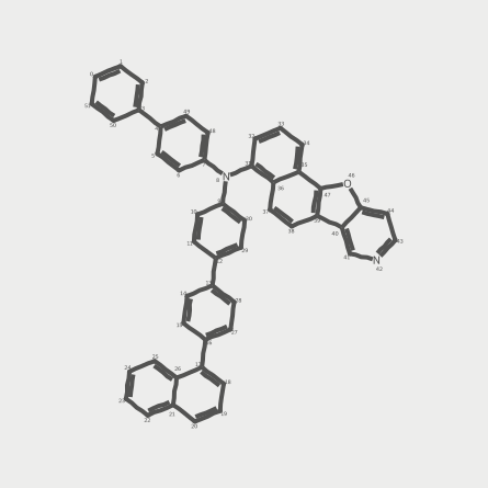 c1ccc(-c2ccc(N(c3ccc(-c4ccc(-c5cccc6ccccc56)cc4)cc3)c3cccc4c3ccc3c5cnccc5oc43)cc2)cc1